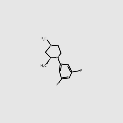 C[C@H]1CN(C)CCN1c1cc(F)cc(F)c1